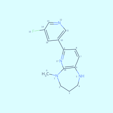 CN1CCCNc2ccc(-c3cncc(F)c3)nc21